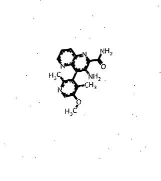 COc1cnc(C)c(-c2c(N)c(C(N)=O)nc3cccnc23)c1C